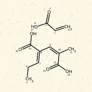 C=CC(=O)O.CCC=C(C=C(C)C(=O)O)C(=O)O